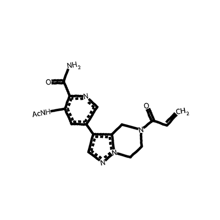 C=CC(=O)N1CCn2ncc(-c3cnc(C(N)=O)c(NC(C)=O)c3)c2C1